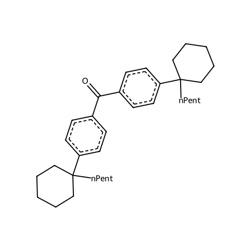 CCCCCC1(c2ccc(C(=O)c3ccc(C4(CCCCC)CCCCC4)cc3)cc2)CCCCC1